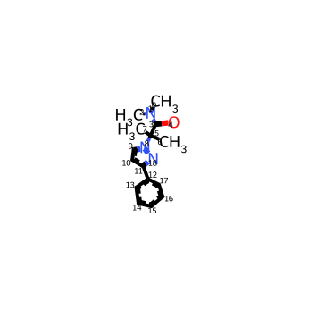 CN(C)C(=O)C(C)(C)n1ccc(-c2ccccc2)n1